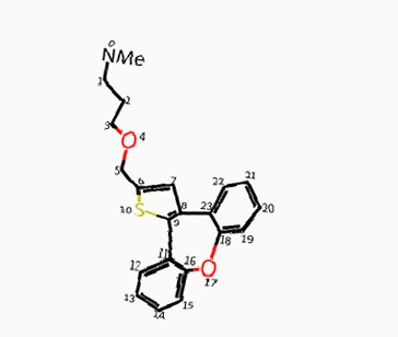 CNCCCOCc1cc2c(s1)-c1ccccc1Oc1ccccc1-2